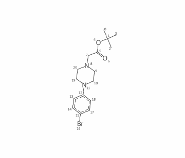 CC(C)(C)OC(=O)CN1CCN(c2ccc(Br)cc2)CC1